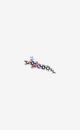 CCCCCC1CCC(c2ccc(-c3cnc(OC(=O)c4cc(N)c(OC[C@@H](C)CC)cc4[N+](=O)[O-])cn3)cc2)CC1